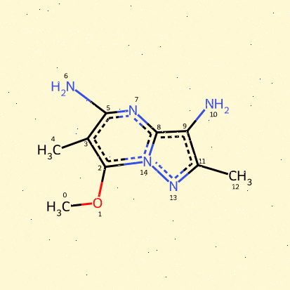 COc1c(C)c(N)nc2c(N)c(C)nn12